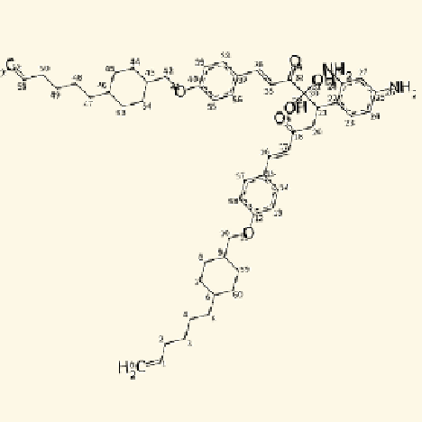 C=CCCCCC1CCC(COc2ccc(C=CC(=O)CC(c3ccc(N)cc3N)C(O)(O)C(=O)C=Cc3ccc(OCC4CCC(CCCCC=C)CC4)cc3)cc2)CC1